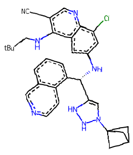 CC(C)(C)CNc1c(C#N)cnc2c(Cl)cc(N[C@H](C3=CN(C45CC(C4)C5)NN3)c3cccc4cnccc34)cc12